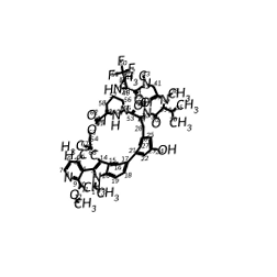 CCn1c(-c2cccnc2[C@H](C)OC)c2c3cc(ccc31)-c1cc(O)cc(c1)C[C@H](NC(=O)C(C(C)C)N(C)C(=O)CN(C)C(=O)[C@H]1N[C@H]1C(F)(F)F)C(=O)N1CCC[C@H](N1)C(=O)OCC(C)(C)C2